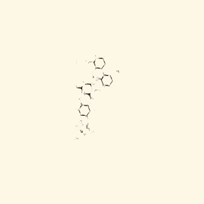 COc1ccc(Cn2c(NCc3cccnc3N)nc(=O)n(Cc3ccc(O[Si](C)(C)C(C)(C)C)cc3)c2=O)cc1